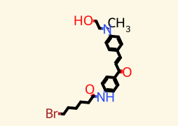 CN(CCO)c1ccc(/C=C/C(=O)c2ccc(NC(=O)CCCCCBr)cc2)cc1